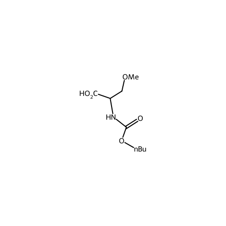 CCCCOC(=O)NC(COC)C(=O)O